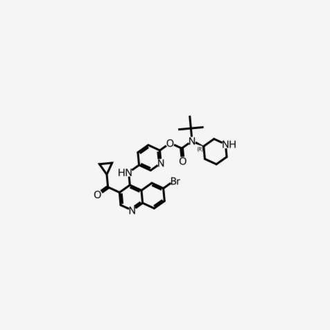 CC(C)(C)N(C(=O)Oc1ccc(Nc2c(C(=O)C3CC3)cnc3ccc(Br)cc23)cn1)[C@@H]1CCCNC1